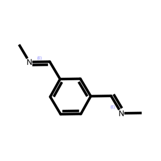 C/N=C/c1cccc(/C=N/C)c1